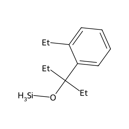 CCc1ccccc1C(CC)(CC)O[SiH3]